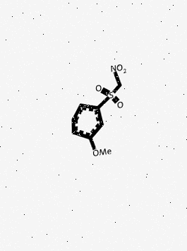 COc1cccc(S(=O)(=O)C[N+](=O)[O-])c1